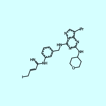 CC(C)c1cnn2c(NCc3cccc(NC(=N)/C=C/CI)c3)nc(NC3CCOCC3)nc12